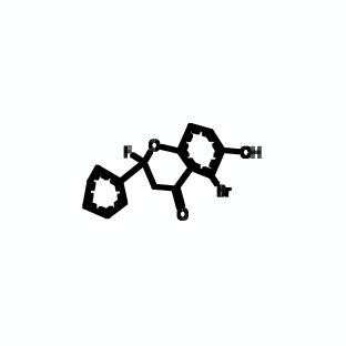 O=C1CC(F)(c2ccccc2)Oc2ccc(O)c(Br)c21